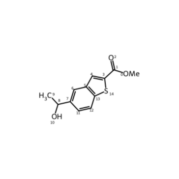 COC(=O)c1cc2cc(C(C)O)ccc2s1